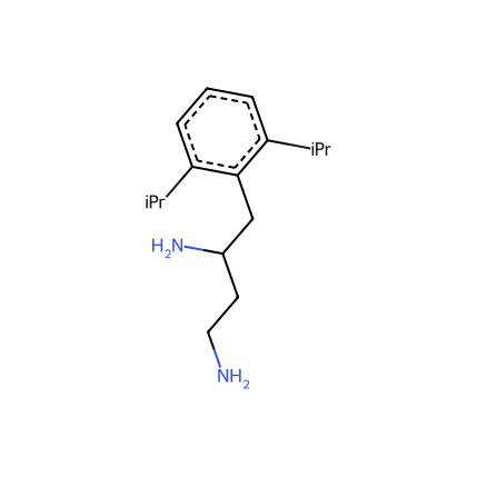 CC(C)c1cccc(C(C)C)c1CC(N)CCN